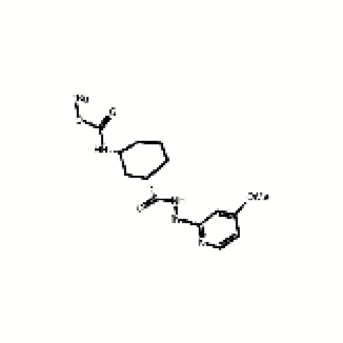 COc1ccnc(NNC(=O)[C@H]2CCC[C@@H](NC(=O)OC(C)(C)C)C2)c1